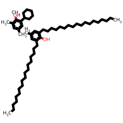 C.CCCCCCCCCCCCCCCCCCc1cc(C)cc(CCCCCCCCCCCCCCCCCC)c1O.Cc1cc(C)c(O)c(C2CCCCC2)c1